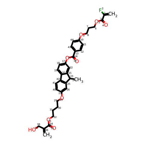 C=C(F)C(=O)OCCCOc1ccc(C(=O)Oc2ccc3c(c2)C(C)c2cc(OCCCCOC(=O)C(=C)CO)ccc2-3)cc1